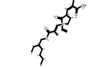 C=C[N+]1(C=C(C)C(=O)OCC(CC)CCCC)CCC(C=C(C)C(=O)O)C1=O